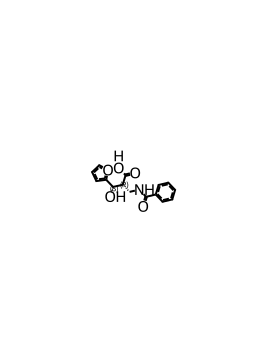 O=C(NC[C@@H](C(=O)O)[C@H](O)c1ccco1)c1ccccc1